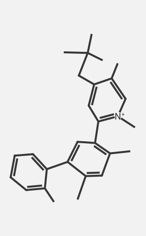 Cc1c[n+](C)c(-c2cc(-c3ccccc3C)c(C)cc2C)cc1CC(C)(C)C